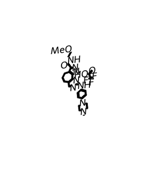 COCCNC(=O)c1nn(C)c2c1CCCc1cnc(Nc3ccc(N4CCN(C)CC4)cc3)nc1-2.O=C(O)C(F)(F)F